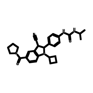 CC(C)NC(=O)Nc1ccc(C2C(C#N)c3cc(C(=O)N4CCCC4)ccc3N2C2CCC2)cc1